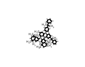 Cc1cc2c3c(c1)N(c1ccc4c(c1)C(C)(C)CCC4(C)C)c1cc4c(cc1B3c1cc(C(C)(C)c3ccccc3)ccc1N2c1ccc(C(C)(C)c2ccccc2)cc1)C(C)(C)CCC4(C)C